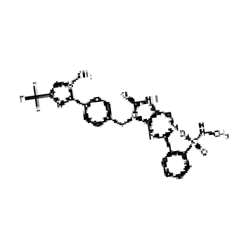 CNS(=O)(=O)c1ccccc1-c1ncc2[nH]c(=O)n(Cc3ccc(-c4nc(C(F)(F)F)cn4C)cc3)c2n1